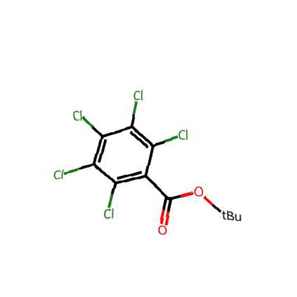 CC(C)(C)OC(=O)c1c(Cl)c(Cl)c(Cl)c(Cl)c1Cl